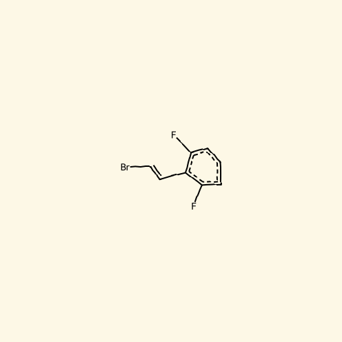 Fc1cccc(F)c1C=CBr